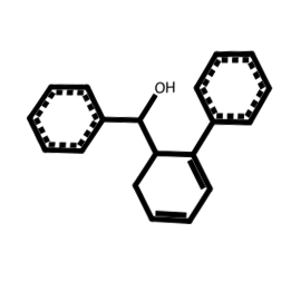 OC(c1ccccc1)C1CC=CC=C1c1ccccc1